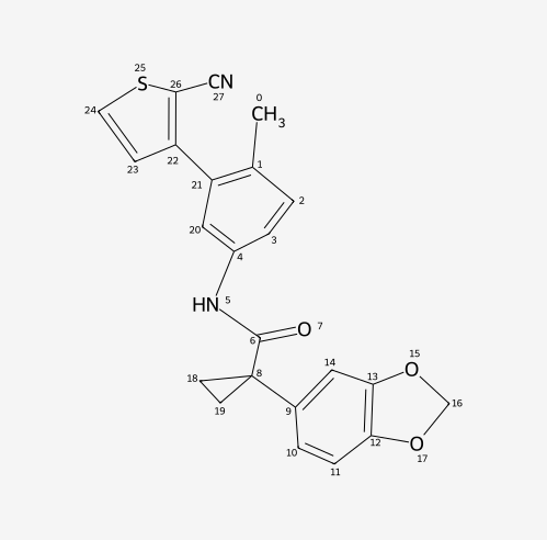 Cc1ccc(NC(=O)C2(c3ccc4c(c3)OCO4)CC2)cc1-c1ccsc1C#N